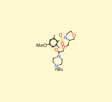 CCCCN1CCN(C(=O)COC[C@@H]2COCCN2S(=O)(=O)c2c(C)cc(OC)cc2C)CC1